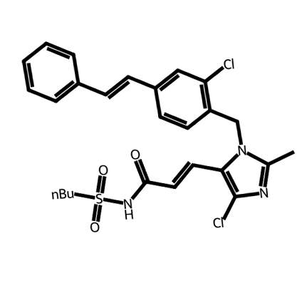 CCCCS(=O)(=O)NC(=O)/C=C/c1c(Cl)nc(C)n1Cc1ccc(/C=C/c2ccccc2)cc1Cl